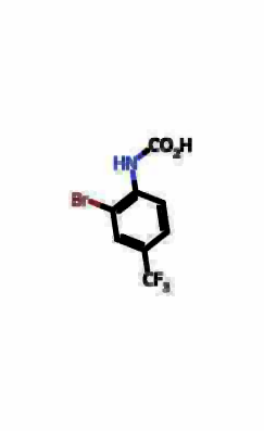 O=C(O)Nc1ccc(C(F)(F)F)cc1Br